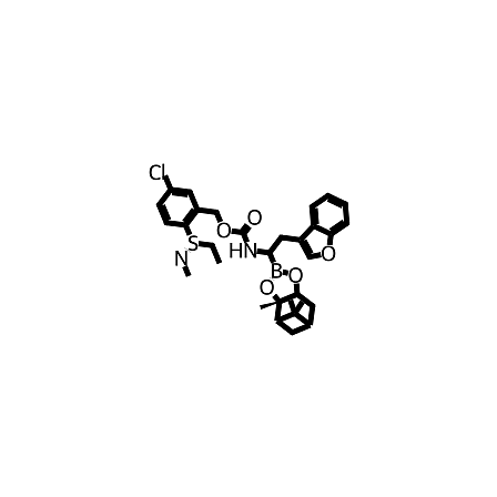 CC/S(=N\C)c1ccc(Cl)cc1COC(=O)NC(Cc1coc2ccccc12)B1OC2CC3CC(C3(C)C)[C@]2(C)O1